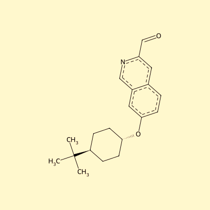 CC(C)(C)[C@H]1CC[C@H](Oc2ccc3cc(C=O)ncc3c2)CC1